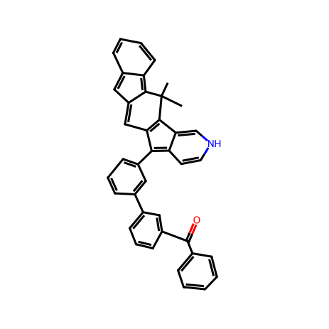 CC1(C)C2=c3ccccc3=CC2=Cc2c(-c3cccc(-c4cccc(C(=O)c5ccccc5)c4)c3)c3cc[nH]cc-3c21